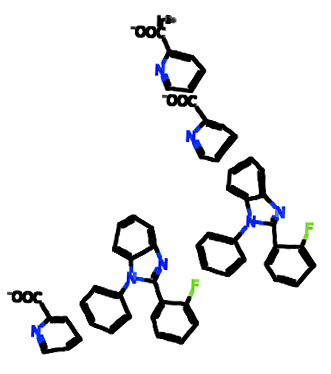 Fc1ccccc1-c1nc2ccccc2n1-c1ccccc1.Fc1ccccc1-c1nc2ccccc2n1-c1ccccc1.O=C([O-])c1ccccn1.O=C([O-])c1ccccn1.O=C([O-])c1ccccn1.[Ir+3]